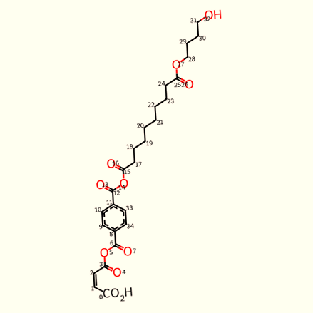 O=C(O)/C=C\C(=O)OC(=O)c1ccc(C(=O)OC(=O)CCCCCCCCC(=O)OCCCCO)cc1